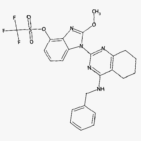 COc1nc2c(OS(=O)(=O)C(F)(F)F)cccc2n1-c1nc2c(c(NCc3ccccc3)n1)CCCC2